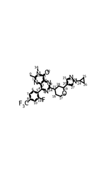 Cc1nc2c(-c3ccc(C(F)(F)F)cc3F)nc(C3CCOC(c4cnn(C5CC5)c4)C3)nc2c(=O)n1C